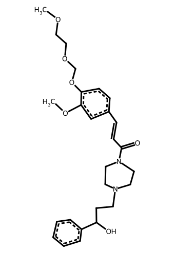 COCCOCOc1ccc(C=CC(=O)N2CCN(CCC(O)c3ccccc3)CC2)cc1OC